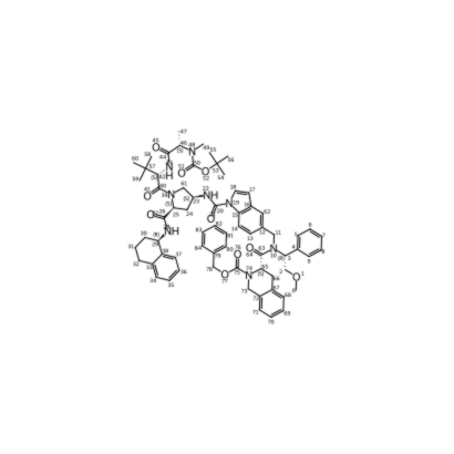 COC[C@@H](c1ccccc1)N(Cc1ccc2c(ccn2C(=O)N[C@H]2C[C@@H](C(=O)N[C@@H]3CCCc4ccccc43)N(C(=O)[C@@H](NC(=O)[C@H](C)N(C)C(=O)OC(C)(C)C)C(C)(C)C)C2)c1)C(=O)[C@@H]1Cc2ccccc2CN1C(=O)OCc1ccccc1